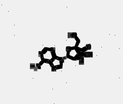 Nc1ncnc2c1ncn2[C@@H]1O[C@]2(CO)C(=O)NC1C2O